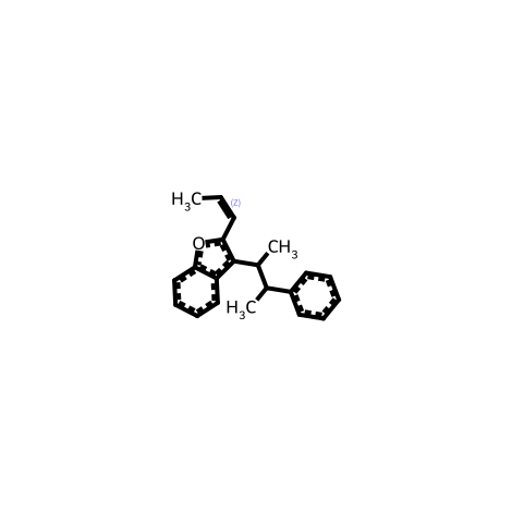 C/C=C\c1oc2ccccc2c1C(C)C(C)c1ccccc1